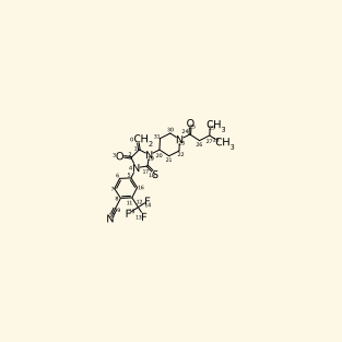 C=C1C(=O)N(c2ccc(C#N)c(C(F)(F)F)c2)C(=S)N1C1CCN(C(=O)CC(C)C)CC1